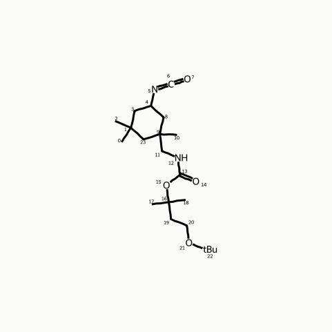 CC1(C)CC(N=C=O)CC(C)(CNC(=O)OC(C)(C)CCOC(C)(C)C)C1